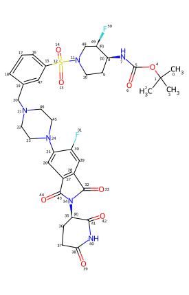 CC(C)(C)OC(=O)N[C@H]1CCN(S(=O)(=O)c2cccc(CN3CCN(c4cc5c(cc4F)C(=O)N([C@@H]4CCC(=O)NC4=O)C5=O)CC3)c2)C[C@H]1F